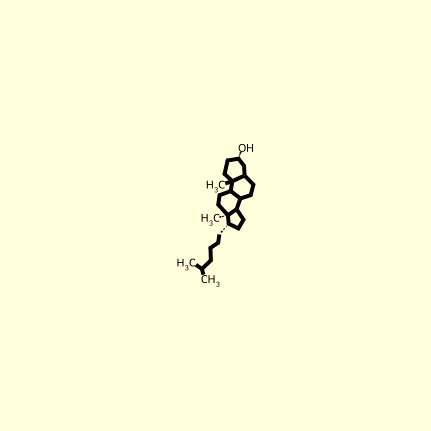 CC(C)CCCC[C@H]1CCC2C3CCC4C[C@@H](O)CCC4(C)C3CC[C@@]21C